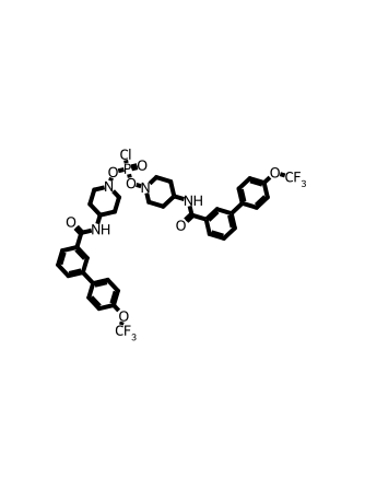 O=C(NC1CCN(OP(=O)(Cl)ON2CCC(NC(=O)c3cccc(-c4ccc(OC(F)(F)F)cc4)c3)CC2)CC1)c1cccc(-c2ccc(OC(F)(F)F)cc2)c1